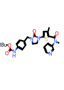 Cc1cc(N2CCN(Cc3ccc(NC(=O)OC(C)(C)C)cc3)C2=O)sc1C(=O)N(C)c1cccnc1